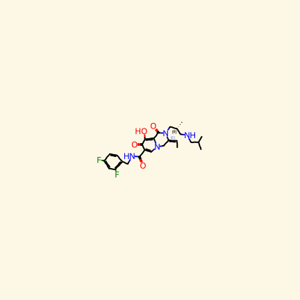 C/C=C1\Cn2cc(C(=O)NCc3ccc(F)cc3F)c(=O)c(O)c2C(=O)N1C[C@H](C)CNCC(C)C